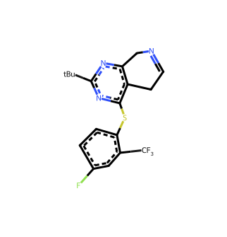 CC(C)(C)c1nc2c(c(Sc3ccc(F)cc3C(F)(F)F)n1)CC=NC2